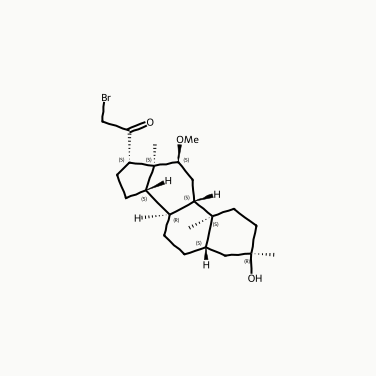 CO[C@H]1C[C@H]2[C@@H](CC[C@H]3C[C@](C)(O)CC[C@@]32C)[C@@H]2CC[C@H](C(=O)CBr)[C@@]12C